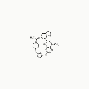 CC(=O)c1nnc(Nc2cnn(CC3CCN(C(C)=O)CC3)c2)cc1NCc1cccc2ccsc12